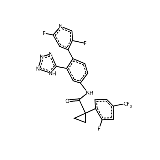 O=C(Nc1ccc(-c2cc(F)ncc2F)c(-c2nnn[nH]2)c1)C1(c2ccc(C(F)(F)F)cc2F)CC1